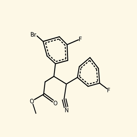 COC(=O)CC(c1cc(F)cc(Br)c1)C(C#N)c1cccc(F)c1